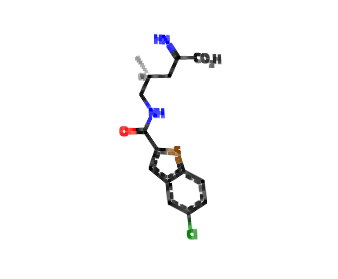 C[C@@H](CNC(=O)c1cc2cc(Cl)ccc2s1)CC(=N)C(=O)O